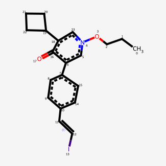 CCCOn1cc(-c2ccc(/C=C/I)cc2)c(=O)c(C2CCC2)c1